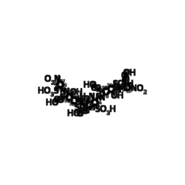 Nc1c(N=Nc2cc3c(O)c(N=Nc4ccc([N+](=O)[O-])cc4SOOO)c(S(=O)(=O)O)cc3cc2SOOO)cc(S(=O)(=O)O)c2cc(SOOO)c(N=Nc3cc4c(O)c(N=Nc5ccc([N+](=O)[O-])cc5S(=O)(=O)O)c(SOOO)cc4cc3S(=O)(=O)O)c(O)c12